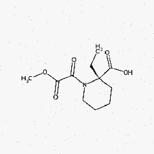 CC[C@@]1(C(=O)O)CCCCN1C(=O)C(=O)OC